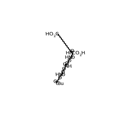 CC(C)(C)C(=O)CCCCOCCNC(=O)COCCOCCNC(=O)COCCOCCNC(=O)CC[C@H](NC(=O)CCCCCCCCCCCCCCCCCCC(=O)O)C(=O)O